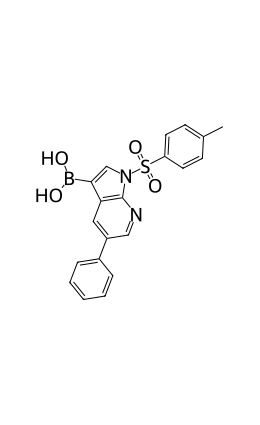 Cc1ccc(S(=O)(=O)n2cc(B(O)O)c3cc(-c4ccccc4)cnc32)cc1